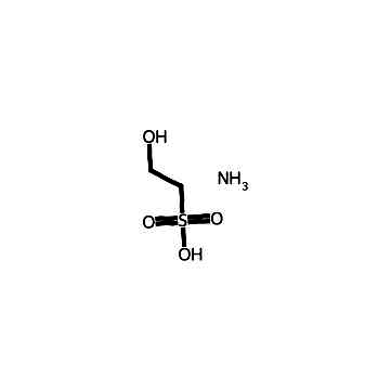 N.O=S(=O)(O)CCO